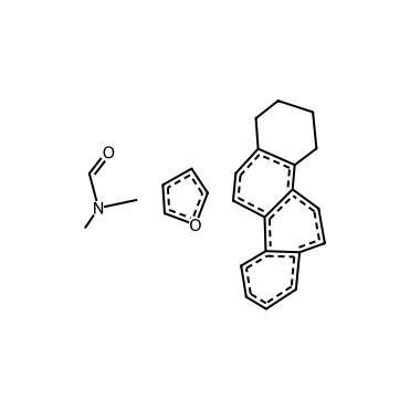 CN(C)C=O.c1ccc2c(c1)ccc1c3c(ccc12)CCCC3.c1ccoc1